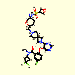 CC(C)N(C(=O)c1cc(F)ccc1Oc1cncnc1N1CC2(CCN(C[C@@H]3CC[C@@H](NS(=O)(=O)C4COC4)CO3)CC2)C1)C1CC(F)(F)C1